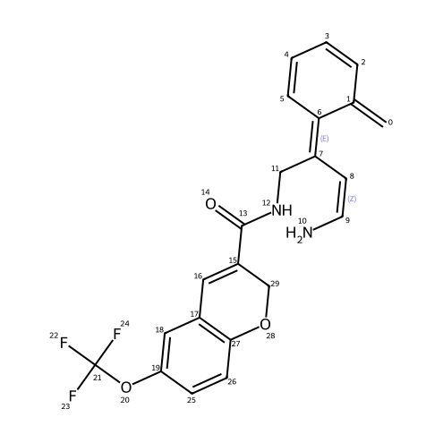 C=c1cccc/c1=C(/C=C\N)CNC(=O)C1=Cc2cc(OC(F)(F)F)ccc2OC1